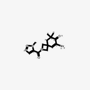 Cn1nncc1C(=O)N1CC2(C=C(N)C(=O)C(C)(C)C2)C1